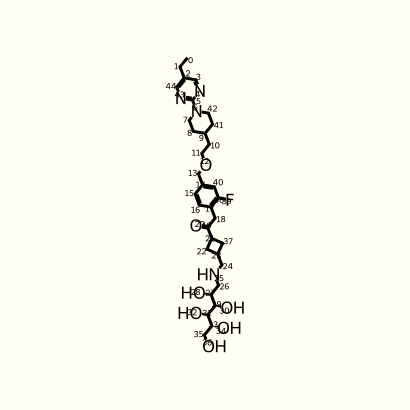 CCc1cnc(N2CCC(CCOCc3ccc(CC(=O)C4CC(CNC[C@H](O)[C@@H](O)[C@H](O)[C@H](O)CO)C4)c(F)c3)CC2)nc1